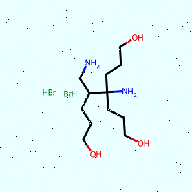 Br.Br.NCC(CCCO)C(N)(CCCO)CCCO